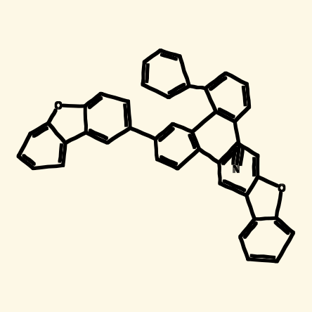 N#Cc1cccc(-c2ccccc2)c1-c1cc(-c2ccc3oc4ccccc4c3c2)ccc1-c1ccc2oc3ccccc3c2c1